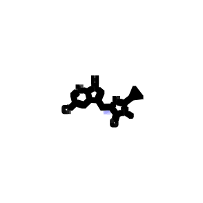 CN1C(=O)/C(=C/C2=CNC3N=CC(Cl)=CC23)N=C1C1CC1